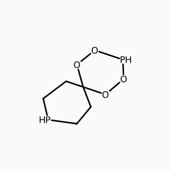 C1CC2(CCP1)OOPOO2